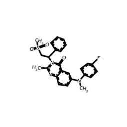 Cc1nc2ccc(N(C)c3ccc(F)cc3)cc2c(=O)n1C(CS(C)(=O)=O)c1ccccc1